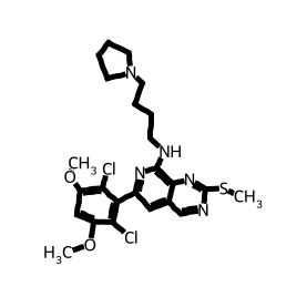 COc1cc(OC)c(Cl)c(-c2cc3cnc(SC)nc3c(NCCCCN3CCCC3)n2)c1Cl